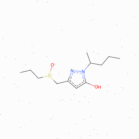 CCCC(C)n1nc(C[S+]([O-])CCC)cc1O